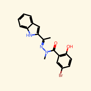 C/C(=N\N(C)C(=O)c1cc(Br)ccc1O)c1cc2ccccc2[nH]1